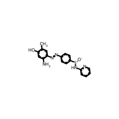 Cc1cc(/N=N/c2ccc([S+]([O-])Nc3ccccn3)cc2)c(N)cc1O